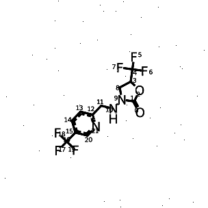 O=C1OC(C(F)(F)F)CN1NCc1ccc(C(F)(F)F)cn1